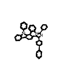 c1ccc(-c2ccc(-c3nc(-c4ccccc4)n4c5ccccc5c5c(ccc6c7ccccc7n(-c7ccccc7)c65)c34)cc2)cc1